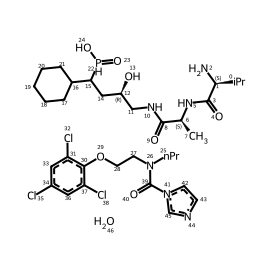 CC(C)[C@H](N)C(=O)N[C@@H](C)C(=O)NC[C@H](O)CC(C1CCCCC1)[PH](=O)O.CCCN(CCOc1c(Cl)cc(Cl)cc1Cl)C(=O)n1ccnc1.O